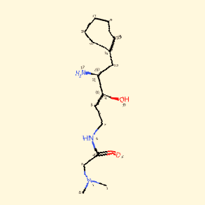 CN(C)CC(=O)NCC[C@H](O)[C@@H](N)CC1CCCCC1